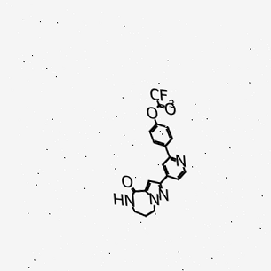 O=C1NCCCn2nc(-c3ccnc(-c4ccc(OC(=O)C(F)(F)F)cc4)c3)cc21